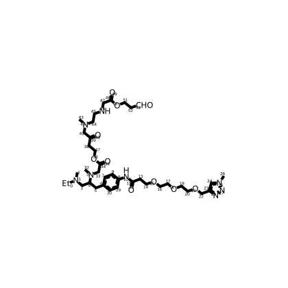 CCN(C)CC(Cc1ccc(NC(=O)CCOCCOCCOCc2cn(C)nn2)cc1)N(C)CC(=O)OCCC(=O)CN(C)CCNCC(=O)OCCC=O